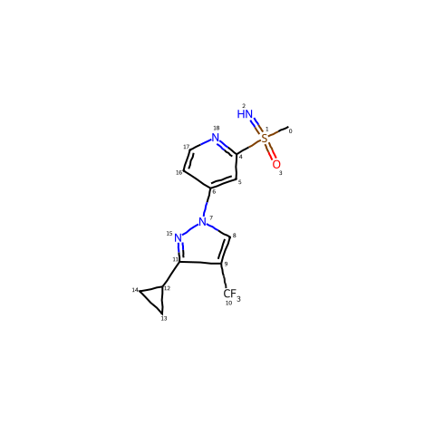 CS(=N)(=O)c1cc(-n2cc(C(F)(F)F)c(C3CC3)n2)ccn1